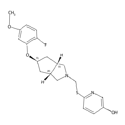 COc1ccc(F)c(O[C@H]2C[C@@H]3CN(CSc4ccc(O)cn4)C[C@@H]3C2)c1